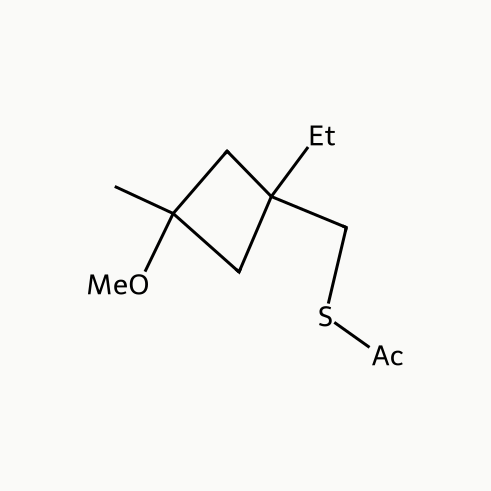 CCC1(CSC(C)=O)CC(C)(OC)C1